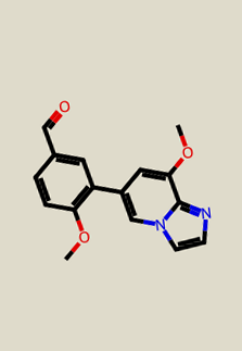 COc1ccc(C=O)cc1-c1cc(OC)c2nccn2c1